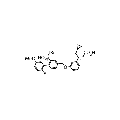 COc1ccc(F)c(-c2ccc(COc3cccc([C@H](CC(=O)O)CC4CC4)c3)cc2[C@H](O)C(C)(C)C)c1